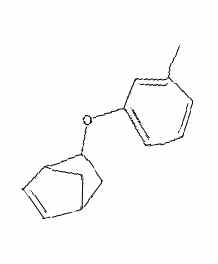 Cc1cccc(OC2CC3C=CC2C3)c1